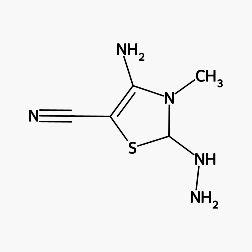 CN1C(N)=C(C#N)SC1NN